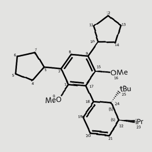 COc1c(C2CCCC2)cc(C2CCCC2)c(OC)c1C1=CC=C[C@H](C(C)C)[C@H]1C(C)(C)C